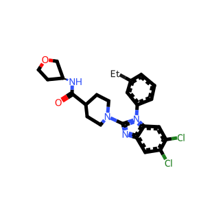 CCc1cccc(-n2c(N3CCC(C(=O)N[C@@H]4CCOC4)CC3)nc3cc(Cl)c(Cl)cc32)c1